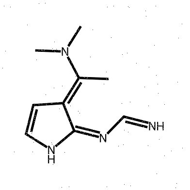 C/C(=C1/C=CN/C1=N/C=N)N(C)C